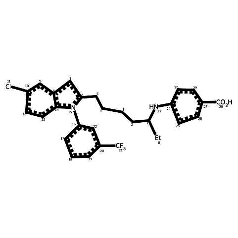 CCC(CCCCc1cc2cc(Cl)ccc2n1-c1cccc(C(F)(F)F)c1)Nc1ccc(C(=O)O)cc1